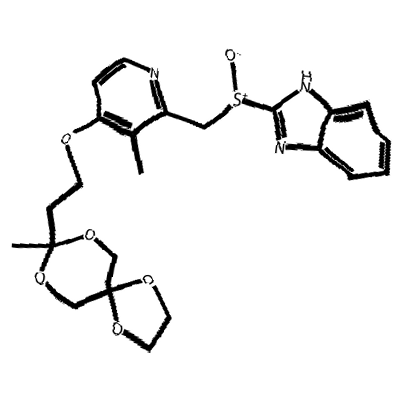 Cc1c(OCCC2(C)OCC3(CO2)OCCO3)ccnc1C[S+]([O-])c1nc2ccccc2[nH]1